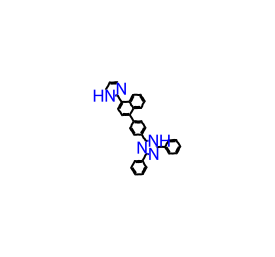 C1=CN=C(c2ccc(-c3ccc(C4N=C(c5ccccc5)N=C(c5ccccc5)N4)cc3)c3ccccc23)NC1